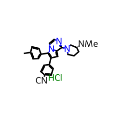 CN[C@@H]1CCCN(c2nccn3c(-c4ccc(C)cc4)c(-c4ccc(C#N)cc4)cc23)C1.Cl